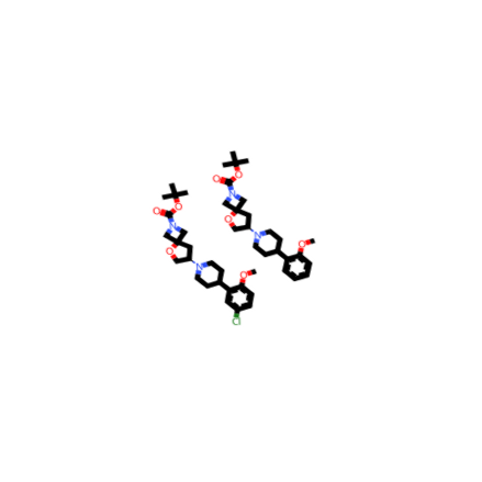 COc1ccc(Cl)cc1C1CCN([C@@H]2COC3(C2)CN(C(=O)OC(C)(C)C)C3)CC1.COc1ccccc1C1CCN([C@@H]2COC3(C2)CN(C(=O)OC(C)(C)C)C3)CC1